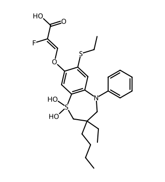 CCCCC1(CC)CN(c2ccccc2)c2cc(SCC)c(OC=C(F)C(=O)O)cc2S(O)(O)C1